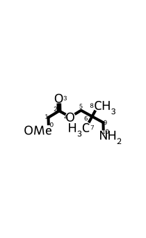 COCC(=O)OCC(C)(C)CN